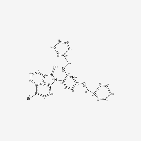 O=C1c2cccc3c(Br)ccc(c23)N1c1ccc(OCc2ccccc2)nc1OCc1ccccc1